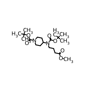 COC(=O)CCCN(C(=O)OC(C)(C)C)C1CCN(C(=O)OC(C)(C)C)CC1